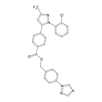 O=C(OCc1ccc(-n2cncn2)cc1)c1ccc(-c2cc(C(F)(F)F)nn2-c2ccccc2Cl)cc1